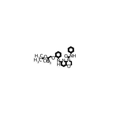 CC(C)(C)OC(=O)COc1ccccc1Nc1ccc2c(n1)N(C(=O)Nc1ccccc1)CCO2